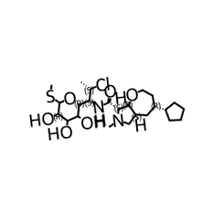 CSC1O[C@H]([C@H](NC(=O)[C@@H]2[C@@H]3OCC[C@H](C4CCCC4)C[C@H]3CN2C)[C@H](C)Cl)C(O)C(O)[C@H]1O